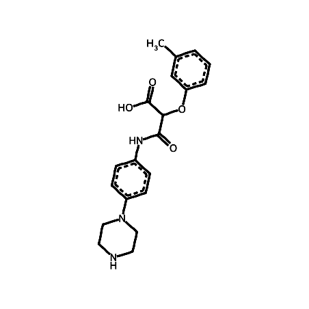 Cc1cccc(OC(C(=O)O)C(=O)Nc2ccc(N3CCNCC3)cc2)c1